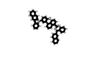 c1ccc2cc(-c3nc(-c4ccc5c6c(cccc46)-c4cc(-n6c7ccccc7c7cc8ccccc8cc76)ccc4O5)nc4ccccc34)ccc2c1